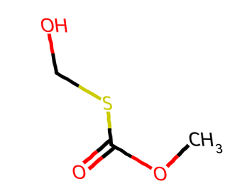 COC(=O)SCO